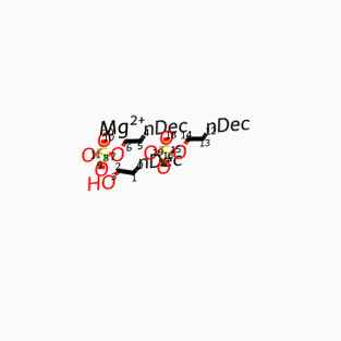 CCCCCCCCCCCCO.CCCCCCCCCCCCOS(=O)(=O)[O-].CCCCCCCCCCCCOS(=O)(=O)[O-].[Mg+2]